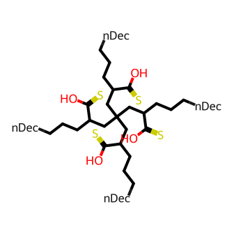 CCCCCCCCCCCCCC(CC(CC(CCCCCCCCCCCCC)C(O)=S)(CC(CCCCCCCCCCCCC)C(O)=S)CC(CCCCCCCCCCCCC)C(O)=S)C(O)=S